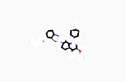 COc1cccc2c1CN(c1c(F)cc3c(=O)c(C(=O)O)cn(-c4ccc(F)cc4)c3c1F)C2